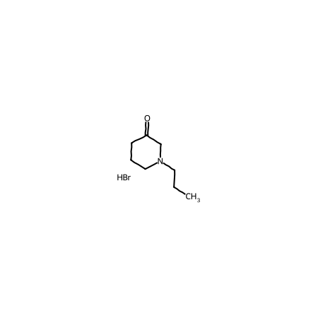 Br.CCCN1CCCC(=O)C1